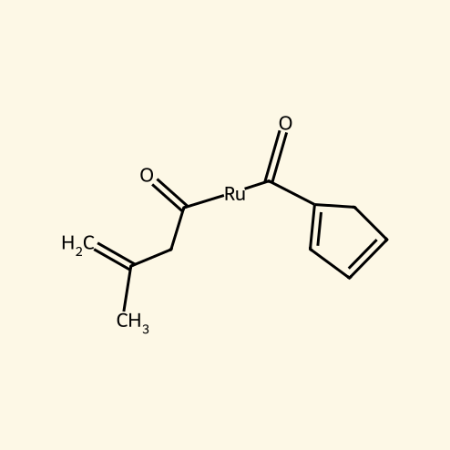 C=C(C)C[C](=O)[Ru][C](=O)C1=CC=CC1